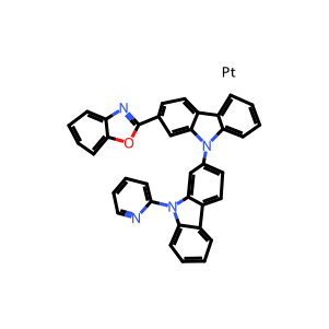 [Pt].c1ccc(-n2c3ccccc3c3ccc(-n4c5ccccc5c5ccc(-c6nc7ccccc7o6)cc54)cc32)nc1